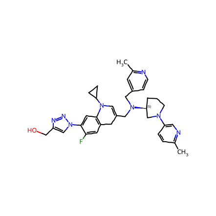 Cc1ccc(N2CCC[C@H](N(CC3=CN(C4CC4)c4cc(-n5cc(CO)nn5)c(F)cc4C3)Cc3ccnc(C)c3)C2)cn1